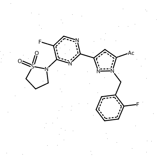 CC(=O)c1cc(-c2ncc(F)c(N3CCCS3(=O)=O)n2)nn1Cc1ccccc1F